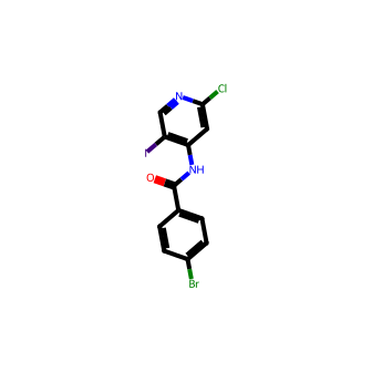 O=C(Nc1cc(Cl)ncc1I)c1ccc(Br)cc1